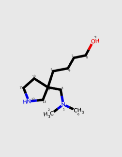 CN(C)CC1(CCCCO)CCNC1